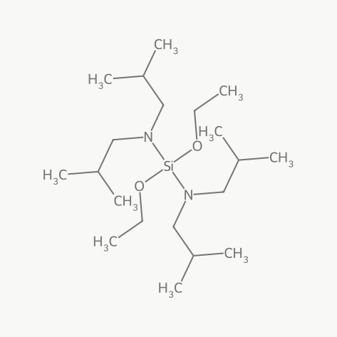 CCO[Si](OCC)(N(CC(C)C)CC(C)C)N(CC(C)C)CC(C)C